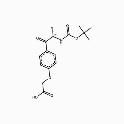 C[C@H](NC(=O)OC(C)(C)C)C(=O)c1ccc(OCC(=O)O)cc1